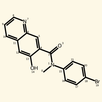 CN(C(=O)c1cc2ncccc2cc1O)c1ccc(Br)cc1